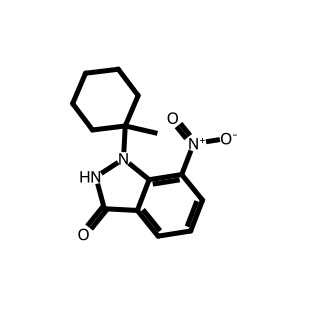 CC1(n2[nH]c(=O)c3cccc([N+](=O)[O-])c32)CCCCC1